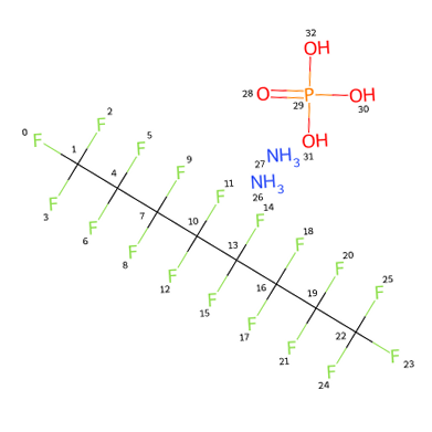 FC(F)(F)C(F)(F)C(F)(F)C(F)(F)C(F)(F)C(F)(F)C(F)(F)C(F)(F)F.N.N.O=P(O)(O)O